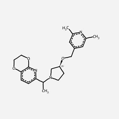 Cc1cc(CO[C@H]2CCN(C(C)c3ccc4c(n3)OCCO4)C2)cc(C)n1